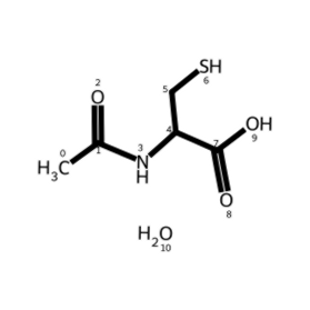 CC(=O)NC(CS)C(=O)O.O